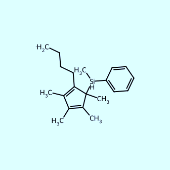 [CH2]CCCC1=C(C)C(C)=C(C)C1(C)[SiH](C)c1ccccc1